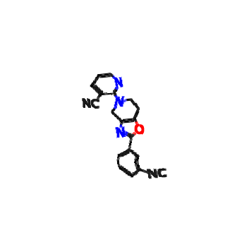 [C-]#[N+]c1cccc(-c2nc3c(o2)CCN(c2ncccc2C#N)C3)c1